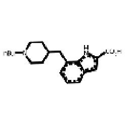 CCCCN1CCC(Cc2cccc3cc(C(=O)O)[nH]c23)CC1